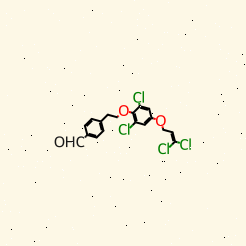 O=Cc1ccc(CCOc2c(Cl)cc(OCC=C(Cl)Cl)cc2Cl)cc1